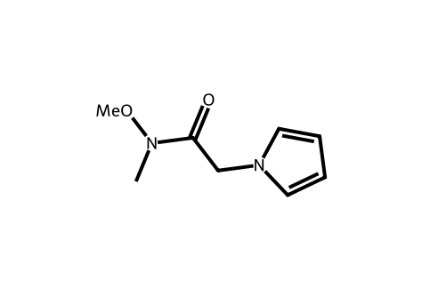 CON(C)C(=O)Cn1cccc1